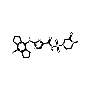 CN1CCN(S(=O)(=O)NC(=O)c2coc(Nc3c4c(c(F)c5c3CCC5)CCC4)n2)CC1=O